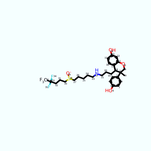 CC1(c2ccc(O)cc2)COc2cc(O)ccc2C1CCCNCCCCC[S+]([O-])CCCC(F)(F)C(F)(F)F